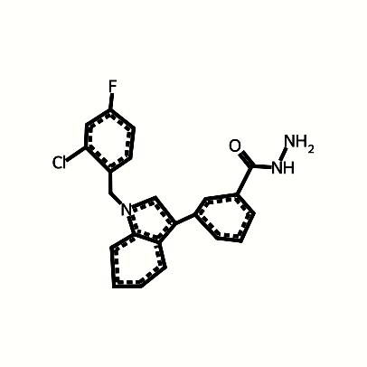 NNC(=O)c1cccc(-c2cn(Cc3ccc(F)cc3Cl)c3ccccc23)c1